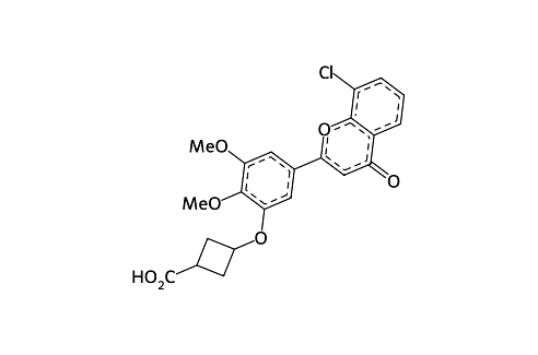 COc1cc(-c2cc(=O)c3cccc(Cl)c3o2)cc(OC2CC(C(=O)O)C2)c1OC